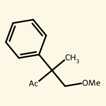 COCC(C)(C(C)=O)c1ccccc1